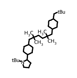 CC(C)(C)CC1CCC(CC(C)(C)CCC(C)(C)CC2CCC(C3CCCN3C(C)(C)C)CC2)CC1